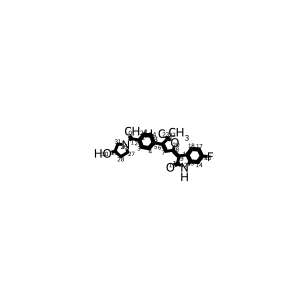 C=C(c1ccc(C2=C/C(=C3\C(=O)Nc4cc(F)ccc43)OC2(C)C)cc1)N1CCC(O)C1